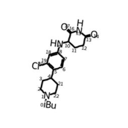 CCC(C)N1CCC(c2ccc(NC3CCC(=O)NC3=O)cc2Cl)CC1